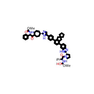 COC(=O)N[C@@H](C(=O)C1CC=C[C@@H](c2ncc(-c3ccc(-c4ccc(-c5ccc6nc([C@@H]7CCCN7C(=O)C(NC(O)OC)C(C)C)[nH]c6c5)c5c4CC4(CCCC4)C5)cc3)[nH]2)CC1)c1ccccc1